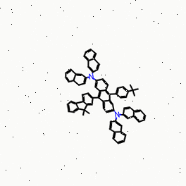 CC(C)(C)c1ccc(-c2c3ccc(N(C4=CCC5C=CC=CC5=C4)c4ccc5ccccc5c4)cc3c(-c3ccc4c(c3)C(C)(C)c3ccccc3-4)c3ccc(N(c4ccc5ccccc5c4)c4ccc5ccccc5c4)cc23)cc1